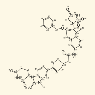 Cn1c(=O)n(C2CCC(=O)NC2=O)c2ccc(C3=CCC(CC(=O)Nc4ccc5c(F)c(N6CC(=O)NS6(=O)=O)c(OCc6ccccc6)cc5c4)CC3)cc21